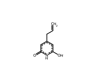 C=CCc1cc(O)[nH]c(=O)c1